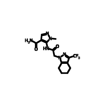 Cn1ncc(C(N)=O)c1NC(=O)Cn1nc(C(F)(F)F)c2c1CCCC2